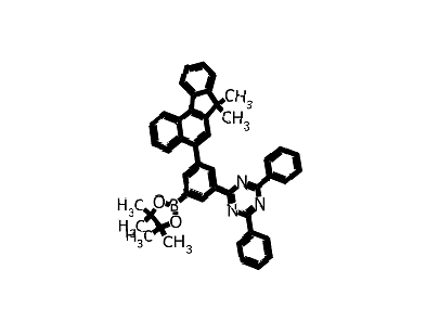 CC1(C)c2ccccc2-c2c1cc(-c1cc(B3OC(C)(C)C(C)(C)O3)cc(-c3nc(-c4ccccc4)nc(-c4ccccc4)n3)c1)c1ccccc21